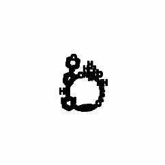 C[C@@H]1NCc2cc(ccc2N2CCOCC2)Nc2nccc(n2)-c2ccc(cc2)OCCCNC1=O